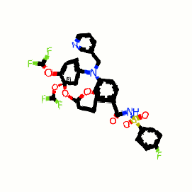 O=C(NS(=O)(=O)c1ccc(F)cc1)c1ccc(N(Cc2cccnc2)C2=CC=C(OC(F)F)[C@@](OC(F)F)(OC3CCCO3)C2)cc1